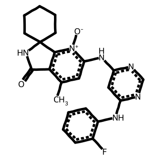 Cc1cc(Nc2cc(Nc3ccccc3F)ncn2)[n+]([O-])c2c1C(=O)NC21CCCCC1